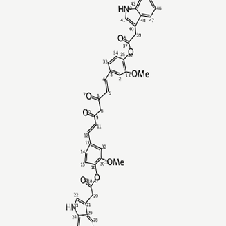 COc1cc(/C=C/C(=O)CC(=O)/C=C/c2ccc(OC(=O)Cc3c[nH]c4ccccc34)c(OC)c2)ccc1OC(=O)Cc1c[nH]c2ccccc12